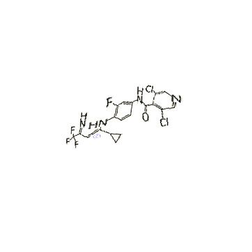 N=C(/C=C(\Nc1ccc(NC(=O)c2c(Cl)cncc2Cl)cc1F)C1CC1)C(F)(F)F